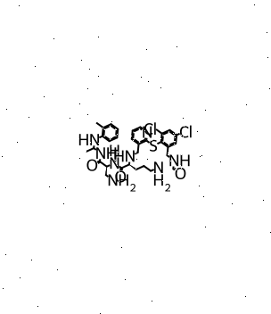 Cc1ccccc1NC(C)NC(=O)[C@H](CN)NC(=O)[C@H](CCCN)NCc1cccnc1Sc1c(Cl)cc(Cl)cc1CNC=O